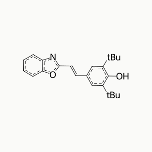 CC(C)(C)c1cc(C=Cc2nc3ccccc3o2)cc(C(C)(C)C)c1O